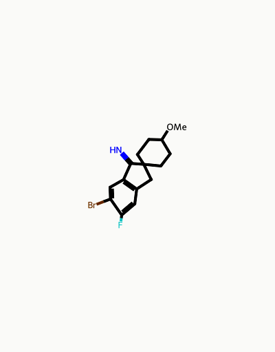 COC1CCC2(CC1)Cc1cc(F)c(Br)cc1C2=N